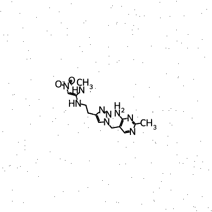 CN/C(=C\[N+](=O)[O-])NCCc1cn(Cc2cnc(C)nc2N)nn1